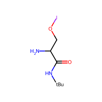 CC(C)(C)NC(=O)C(N)COI